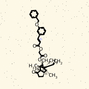 C=C[C@@]1(C)C[C@H](C)[C@]23CCC(=O)[C@H]2[C@@](C)([C@H](C)CC3)[C@H](OC(=O)COC(=O)/C=C/c2cccc(OCc3ccccc3)c2)C1